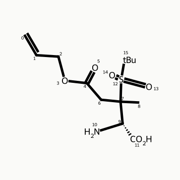 C=CCOC(=O)CC(C)([C@@H](N)C(=O)O)S(=O)(=O)C(C)(C)C